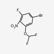 O=[N+]([O-])c1c(F)cc(Br)cc1OC(F)F